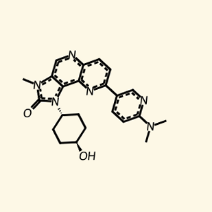 CN(C)c1ccc(-c2ccc3ncc4c(c3n2)n([C@H]2CC[C@H](O)CC2)c(=O)n4C)cn1